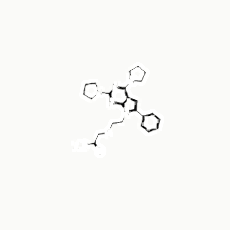 O=C(O)CSCCn1c(-c2ccccc2)cc2c(N3CCCC3)nc(N3CCCC3)nc21